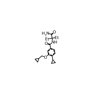 CCC(CC)(NC(=O)c1ccc(C2CC2)c(OCC2CC2)c1)C(N)=O